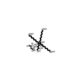 CCCCCCCCCCCCCCCCCCC(O)(CCCCCCCCCCCCCCCCCC)[C@@](O)(CCCCCCCCCCCCCCCCCC)[C@@H](O)[C@H](O)[C@H](O)CO.OP(O)OP(O)O